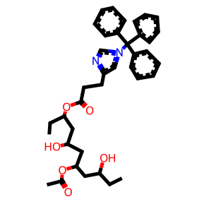 CCC(O)CC(CC(O)CC(CC)OC(=O)CCc1cn(C(c2ccccc2)(c2ccccc2)c2ccccc2)cn1)OC(C)=O